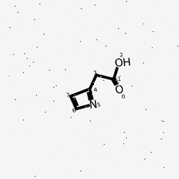 O=C(O)CC1=NC=C1